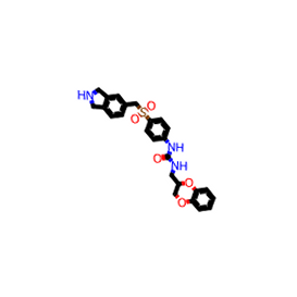 O=C(NCC1COc2ccccc2O1)Nc1ccc(S(=O)(=O)Cc2ccc3c(c2)CNC3)cc1